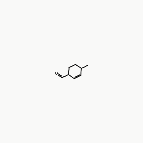 CC1C=CC(C=O)CC1